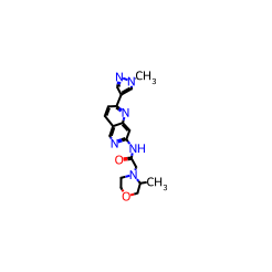 CC1COCCN1CC(=O)Nc1cc2nc(-c3cnn(C)c3)ccc2cn1